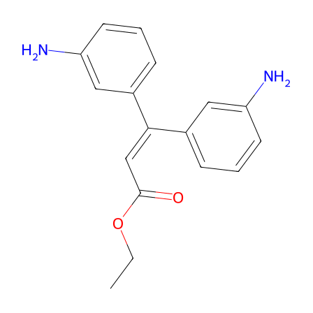 CCOC(=O)C=C(c1cccc(N)c1)c1cccc(N)c1